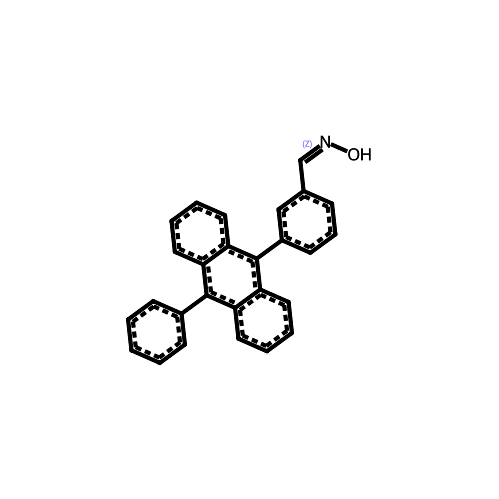 O/N=C\c1cccc(-c2c3ccccc3c(-c3ccccc3)c3ccccc23)c1